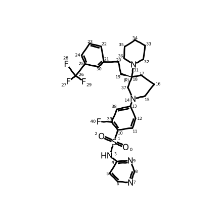 O=S(=O)(Nc1ccncn1)c1ccc(N2CCC[C@@](CCc3cccc(C(F)(F)F)c3)(N3CCCCC3)C2)cc1F